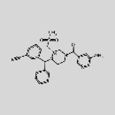 CS(=O)(=O)C[C@@H]1CN(C(=O)c2cncc(N)c2)CCN1C(c1ccccc1)c1cccc(C#N)c1